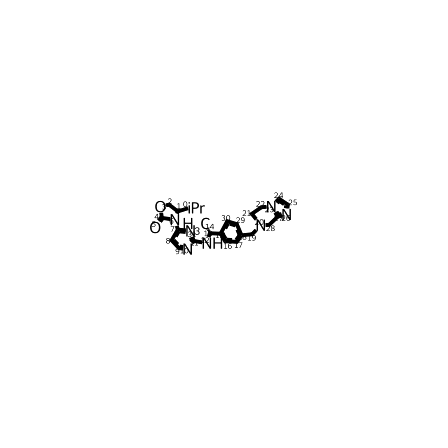 CC(C)C1COC(=O)N1c1ccnc(N[C@@H](C)c2ccc(CN3CCn4ccnc4C3)cc2)n1